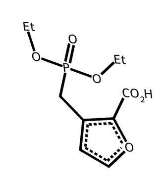 CCOP(=O)(Cc1ccoc1C(=O)O)OCC